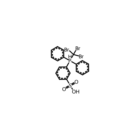 O=S(=O)(O)c1cccc([PH](c2ccccc2)(c2ccccc2)C(Br)(Br)Br)c1